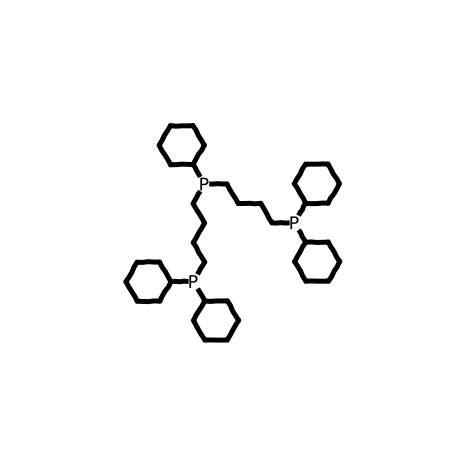 C1CCC(P(CCCCP(C2CCCCC2)C2CCCCC2)CCCCP(C2CCCCC2)C2CCCCC2)CC1